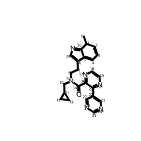 CC1C=CC=C2C(CCN(CC3CC3)C(=O)c3nccnc3-c3cncnc3)=CN=C21